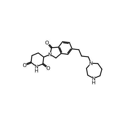 O=C1CCC(N2Cc3cc(CCCN4CCCNCC4)ccc3C2=O)C(=O)N1